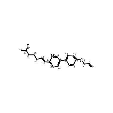 C=CCOc1ccc(-c2cnc(C=CCCCC(C)F)nc2)cc1